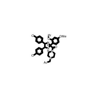 COc1ccc(C2(C(=O)N3CCN(CC(C)=O)CC3)NC(c3ccc(Cl)cc3)C(c3ccc(Cl)cc3)N2)c(OC(C)C)c1